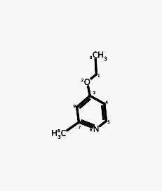 CCOc1ccnc(C)c1